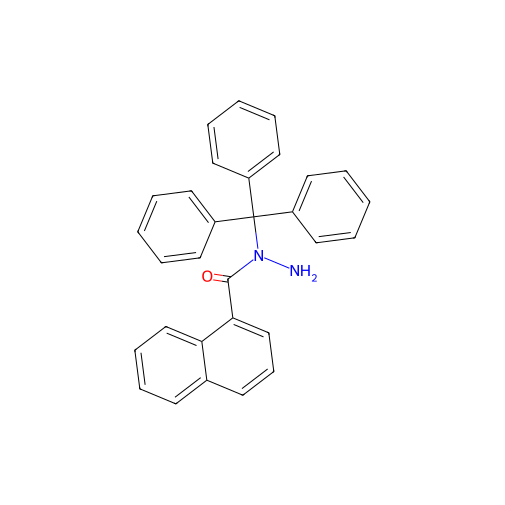 NN(C(=O)c1cccc2ccccc12)C(c1ccccc1)(c1ccccc1)c1ccccc1